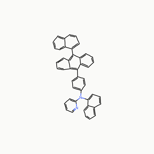 c1ccc(N(c2ccc(-c3c4ccccc4c(-c4cccc5ccccc45)c4ccccc34)cc2)c2cccc3ccccc23)nc1